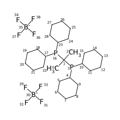 CC(C)(P(C1CCCCC1)C1CCCCC1)P(C1CCCCC1)C1CCCCC1.F[B-](F)(F)F.F[B-](F)(F)F